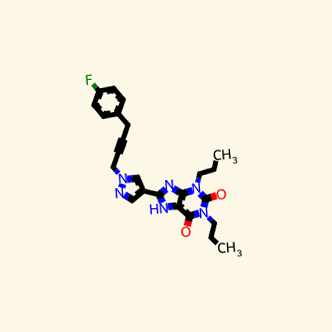 CCCn1c(=O)c2[nH]c(-c3cnn(CC#CCc4ccc(F)cc4)c3)nc2n(CCC)c1=O